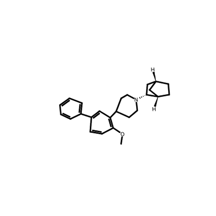 COc1ccc(-c2ccccc2)cc1C1CCN([C@@H]2C[C@@H]3CC[C@H]2C3)CC1